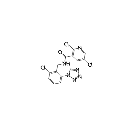 O=C(NCc1c(Cl)cccc1-n1cnnn1)c1cc(Cl)cnc1Cl